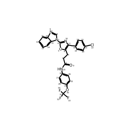 O=C(CCc1oc(-n2cnc3ccccc32)nc1-c1ccc(Cl)cc1)Nc1ccc(OC(F)(F)F)cc1